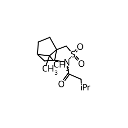 CC(C)CC(=O)N1C2CC3CCC2(CS1(=O)=O)C3(C)C